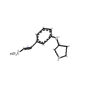 O=C(O)/C=C/c1cccc(OC2CCOC2)c1